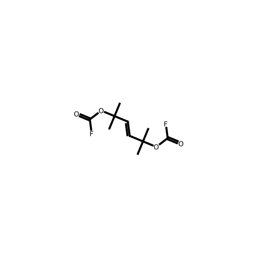 CC(C)(/C=C/C(C)(C)OC(=O)F)OC(=O)F